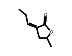 CCC=C1CC(C)OC1=O